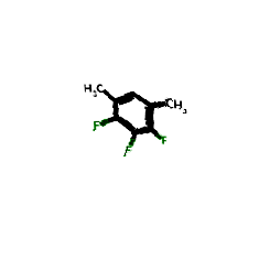 Cc1cc(C)c(F)c(F)c1F